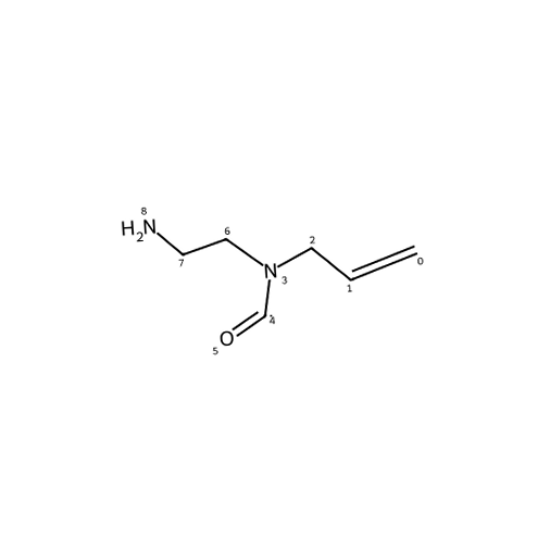 C=CCN([C]=O)CCN